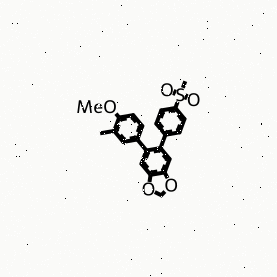 COc1ccc(-c2cc3c(cc2-c2ccc(S(C)(=O)=O)cc2)OCO3)cc1C